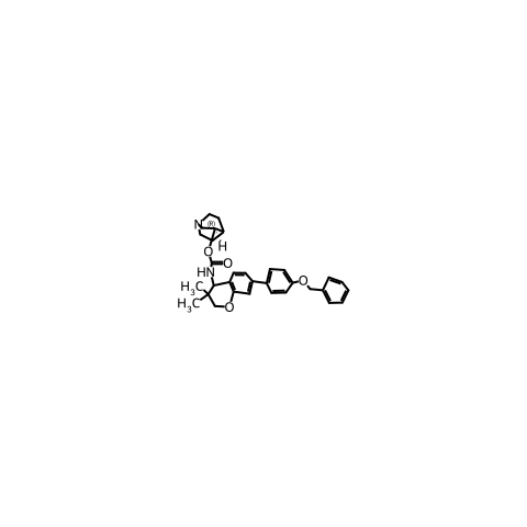 CC1(C)COc2cc(-c3ccc(OCc4ccccc4)cc3)ccc2C1NC(=O)O[C@H]1CN2CCC1CC2